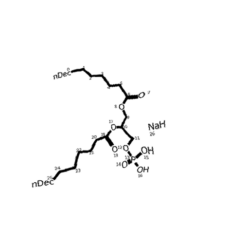 CCCCCCCCCCCCCCCC(=O)OCC(COP(=O)(O)O)OC(=O)CCCCCCCCCCCCCCC.[NaH]